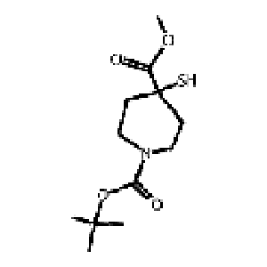 COC(=O)C1(S)CCN(C(=O)OC(C)(C)C)CC1